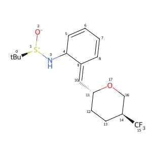 CC(C)(C)[S@@+]([O-])NC1C=CC=C/C1=C\[C@H]1CC[C@H](C(F)(F)F)CO1